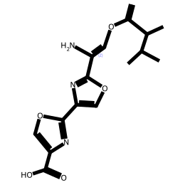 C=C(O/C=C(\N)c1nc(-c2nc(C(=O)O)co2)co1)C(C)C(C)C